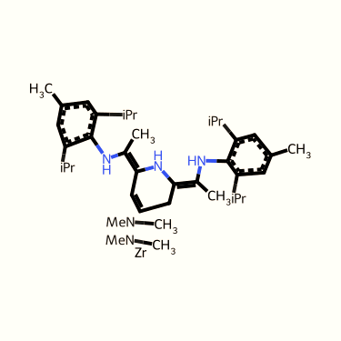 CC(Nc1c(C(C)C)cc(C)cc1C(C)C)=C1C=CCC(=C(C)Nc2c(C(C)C)cc(C)cc2C(C)C)N1.CNC.CNC.[Zr]